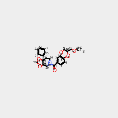 O=C(c1ccc2c(c1)OCC(COC(F)(F)F)O2)N1CC[C@@]2(c3ccccc3)OCOC2C1